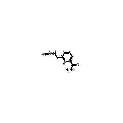 [N-]=[N+]=NCc1cccc(C(N)=O)n1